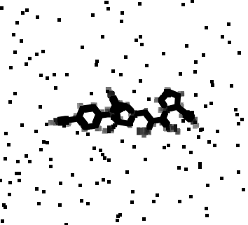 C=C(C(N)CN1C[C@@H]2CC1C(=O)N2c1ccc(C#N)cc1)N1CCCC1C#N